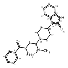 CN(C)C(CC(F)C(=O)c1ccccc1)N1CCC(n2c(=O)[nH]c3ccccc32)CC1